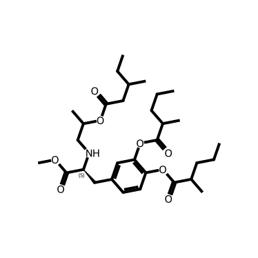 CCCC(C)C(=O)Oc1ccc(C[C@H](NCC(C)OC(=O)CC(C)CC)C(=O)OC)cc1OC(=O)C(C)CCC